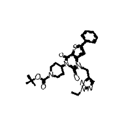 CCn1ncc(Cn2c(=O)n(C3CCN(C(=O)OC(C)(C)C)CC3)c(=O)c3sc(-c4ccccc4)cc32)n1